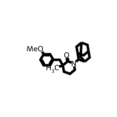 COc1cccc(CC2(C)CCCN(C3C4CC5CC(C4)CC3C5)C2=O)c1